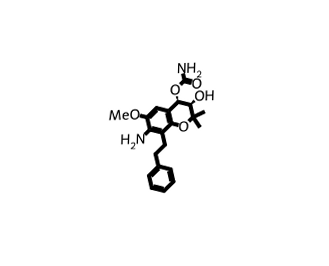 COc1cc2c(c(CCc3ccccc3)c1N)OC(C)(C)[C@H](O)[C@H]2OC(N)=O